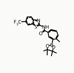 CC1=CC=C=C(C(=O)Nc2nc3ccc(C(F)(F)F)cc3s2)C=C1B1OC(C)(C)C(C)(C)O1